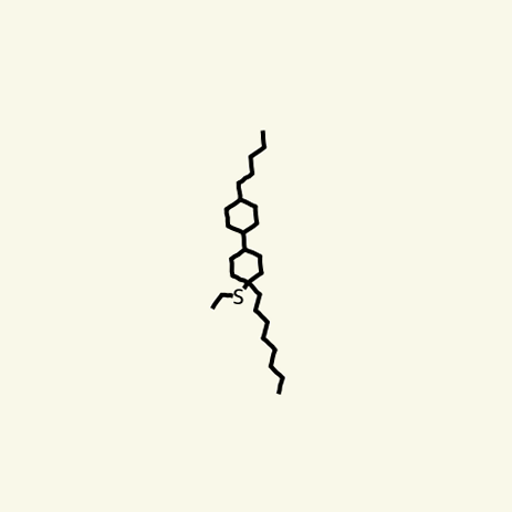 CCCCCCCCC1(SCC)CCC(C2CCC(CCCCC)CC2)CC1